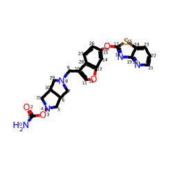 NC(=O)ON1CC2CN(Cc3coc4cc(Oc5nc6ncccc6s5)ccc34)CC2C1